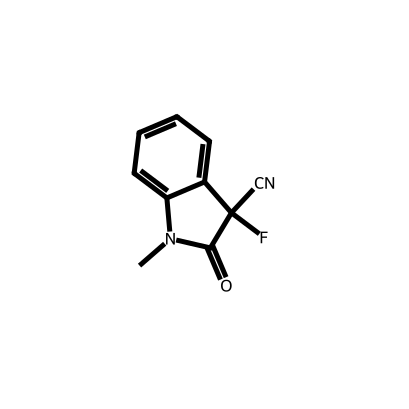 CN1C(=O)C(F)(C#N)c2ccccc21